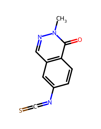 Cn1ncc2cc(N=C=S)ccc2c1=O